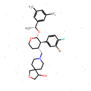 C[C@@H](O[C@H]1OCC[C@@H](CN2CCC3(CC2)COCC3O)[C@@H]1c1ccc(F)c(Br)c1)c1cc(C(F)(F)F)cc(C(F)(F)F)c1